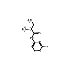 Cc1cccc(NC(=O)[C@H](N)CN)c1